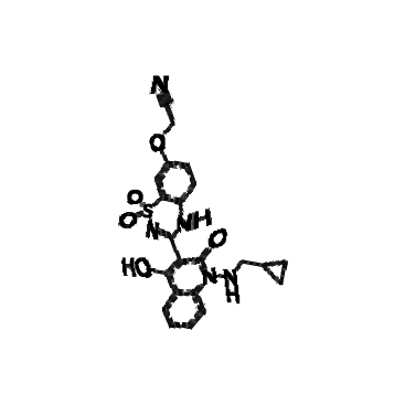 N#CCOc1ccc2c(c1)S(=O)(=O)N=C(c1c(O)c3ccccc3n(NCC3CC3)c1=O)N2